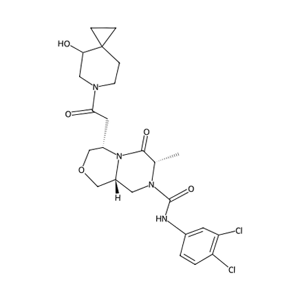 C[C@H]1C(=O)N2[C@@H](CC(=O)N3CCC4(CC4)C(O)C3)COC[C@H]2CN1C(=O)Nc1ccc(Cl)c(Cl)c1